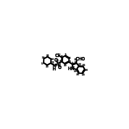 O=Cc1c(-c2ccc(Cl)c(S(=O)(=O)NC3CCCCC3)c2)[nH]c2ccccc12